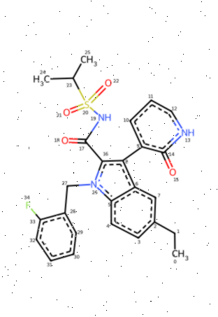 CCc1ccc2c(c1)c(-c1ccc[nH]c1=O)c(C(=O)NS(=O)(=O)C(C)C)n2Cc1ccccc1F